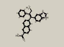 CC/C(=C(/c1ccc2cc(C(=O)O)ccc2c1)c1ccc2[nH]cnc2c1)c1ccccc1